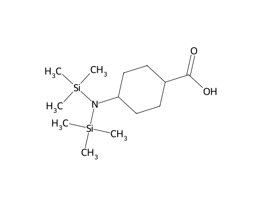 C[Si](C)(C)N(C1CCC(C(=O)O)CC1)[Si](C)(C)C